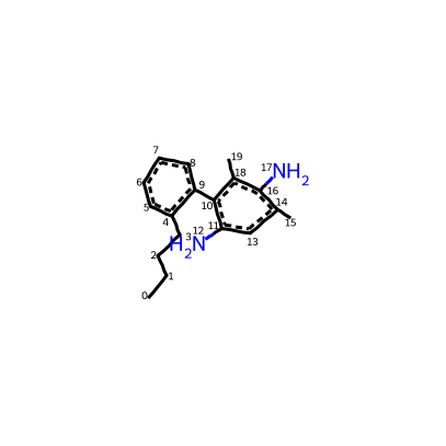 CCCCc1ccccc1-c1c(N)cc(C)c(N)c1C